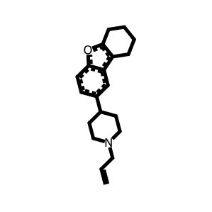 C=CCN1CCC(c2ccc3oc4c(c3c2)CCCC4)CC1